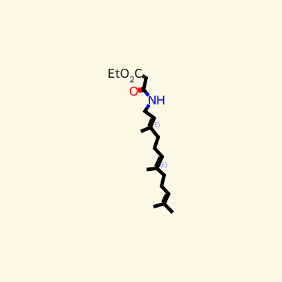 CCOC(=O)CC(=O)NC/C=C(\C)CC/C=C(\C)CCC=C(C)C